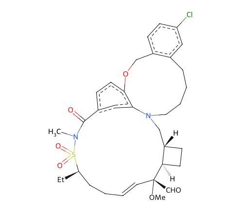 CC[C@@H]1CC/C=C/[C@@](C=O)(OC)[C@@H]2CC[C@H]2CN2CCCCc3cc(Cl)ccc3COc3ccc(cc32)C(=O)N(C)S1(=O)=O